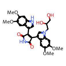 COc1cc2[nH]cc(C3=C(c4cn(CC(O)CO)c5cc(OC)c(OC)cc45)C(=O)NC3=O)c2cc1OC